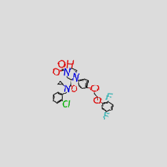 O=C(O)N1CCN(c2ccc(OCCOc3cc(F)ccc3F)cc2)[C@@H](C(=O)N(Cc2ccccc2Cl)C2CC2)C1